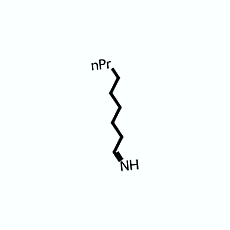 CCCCCCCCC=N